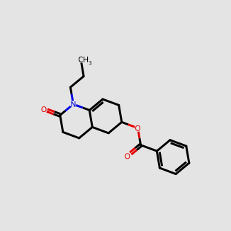 CCCN1C(=O)CCC2CC(OC(=O)c3ccccc3)CC=C21